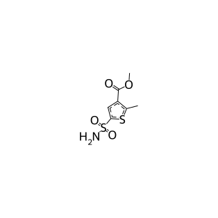 COC(=O)c1cc(S(N)(=O)=O)sc1C